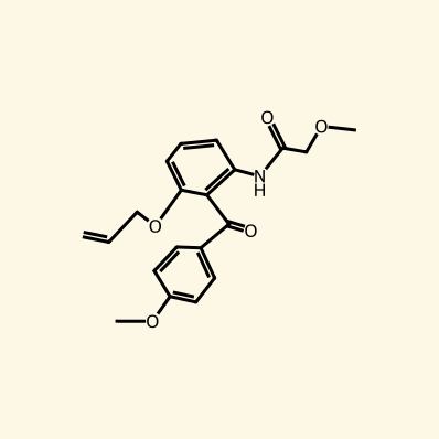 C=CCOc1cccc(NC(=O)COC)c1C(=O)c1ccc(OC)cc1